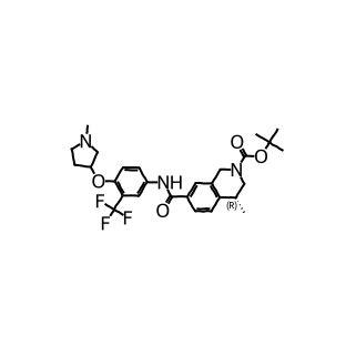 C[C@H]1CN(C(=O)OC(C)(C)C)Cc2cc(C(=O)Nc3ccc(OC4CCN(C)C4)c(C(F)(F)F)c3)ccc21